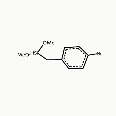 CO[SiH](Cc1ccc(Br)cc1)OC